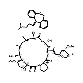 CC[C@@H]1/C=C(\C)C[C@H](C)C[C@H](OC)[C@H]2O[C@@](O)(C(=O)C(=O)N3CCCC[C@H]3C(=O)O[C@H](/C(C)=C/[C@@H]3CC[C@@H](Cl)[C@H](OC)C3)[C@H](C)[C@@H](O)CC1=O)[C@H](C)C[C@@H]2OC.CN(C)CCC=C1c2ccccc2COc2ccccc21